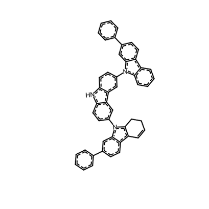 C1=Cc2c(n(-c3ccc4[nH]c5ccc(-n6c7ccccc7c7ccc(-c8ccccc8)cc76)cc5c4c3)c3cc(-c4ccccc4)ccc23)CC1